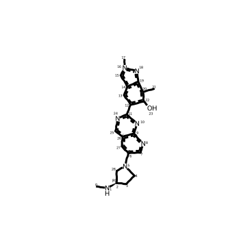 CN[C@@H]1CCN(c2cnc3nc(-c4cc5cn(C)nc5c(C)c4O)ncc3c2)C1